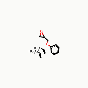 C=CC(=O)O.C=CC(=O)O.c1ccc(OCC2CO2)cc1